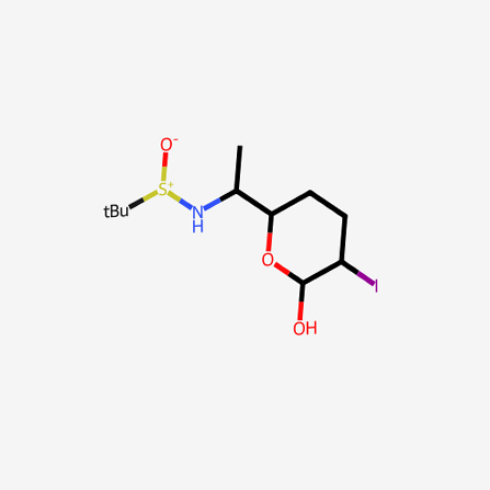 CC(N[S+]([O-])C(C)(C)C)C1CCC(I)C(O)O1